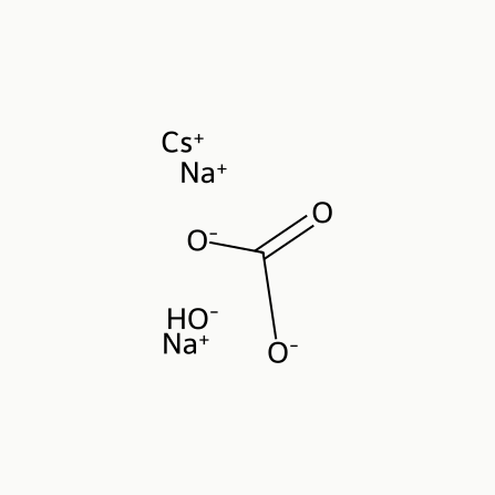 O=C([O-])[O-].[Cs+].[Na+].[Na+].[OH-]